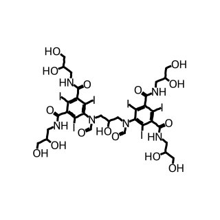 O=CN(CC(O)CN(C=O)c1c(I)c(C(=O)NCC(O)CO)c(I)c(C(=O)NCC(O)CO)c1I)c1c(I)c(C(=O)NCC(O)CO)c(I)c(C(=O)NCC(O)CO)c1I